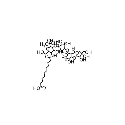 CC1O[C@@H](OC2C(O)[C@@H](NC(=O)CCCCCCCCCCC(=O)O)C(CO)O[C@H]2C(C)(C)C)C(O)C(O)[C@H]1O[C@@H]1OC[C@@H](O)C(O[C@@H]2OCC(O)(CO)[C@@H]2O)C1O